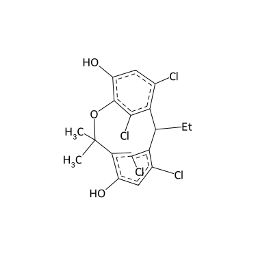 CCC1c2c(Cl)cc(O)c(c2Cl)OC(C)(C)c2c(O)cc(Cl)c1c2Cl